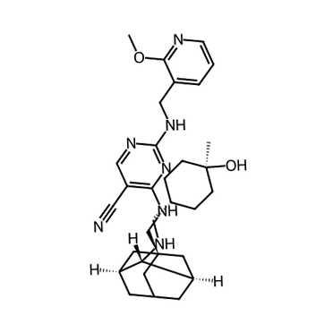 COc1ncccc1CNc1ncc(C#N)c(NC[C@]23CC4C[C@H](C2)[C@@H](NC[C@H]2CC[C@](C)(O)CC2)[C@@H](C4)C3)n1